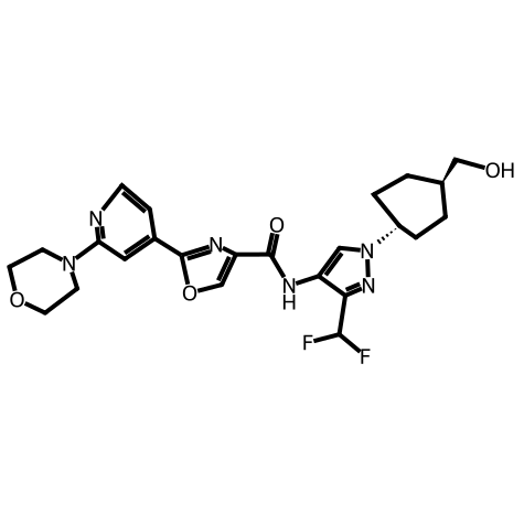 O=C(Nc1cn([C@H]2CC[C@H](CO)CC2)nc1C(F)F)c1coc(-c2ccnc(N3CCOCC3)c2)n1